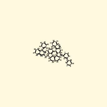 c1ccc(-c2cccc(-n3c4cc5sc6ccccc6c5cc4c4c5c6c(ccc5ccc43)C(Cc3nc(-c4ccccc4)c4ccccc4n3)c3ccccc3-6)c2)cc1